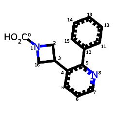 O=C(O)N1CC(c2cccnc2-c2ccccc2)C1